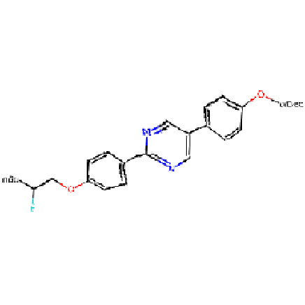 CCCCCCCCCCOc1ccc(-c2cnc(-c3ccc(OCC(F)CCCC)cc3)nc2)cc1